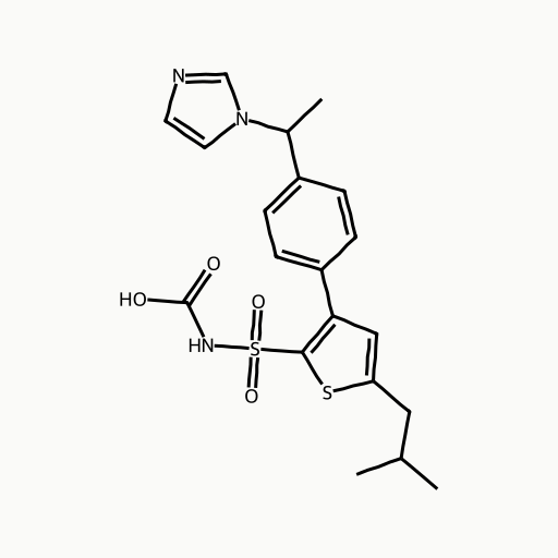 CC(C)Cc1cc(-c2ccc(C(C)n3ccnc3)cc2)c(S(=O)(=O)NC(=O)O)s1